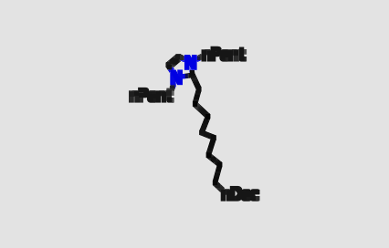 CCCCCCCCCCCCCCCCCCC1N(CCCCC)C=CN1CCCCC